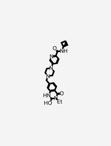 CCN1C(=O)c2ccc(CN3CCN(c4ccc(C(=O)NC56CC(C5)C6)nc4)CC3)cc2NC1O